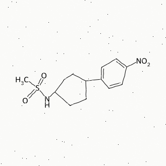 CS(=O)(=O)NC1CCC(c2ccc([N+](=O)[O-])cc2)CC1